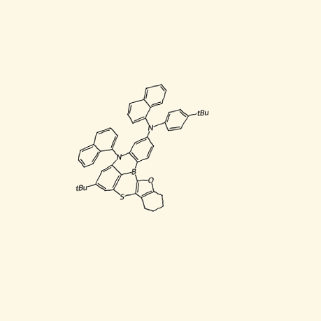 CC(C)(C)c1ccc(N(c2ccc3c(c2)N(c2cccc4ccccc24)c2cc(C(C)(C)C)cc4c2B3c2oc3c(c2S4)CCCC3)c2cccc3ccccc23)cc1